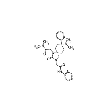 CN(C)C(=O)CN1C(=O)N(CC(=O)Nc2ccncn2)C[C@]12CC[C@@](c1ccccc1)(N(C)C)CC2